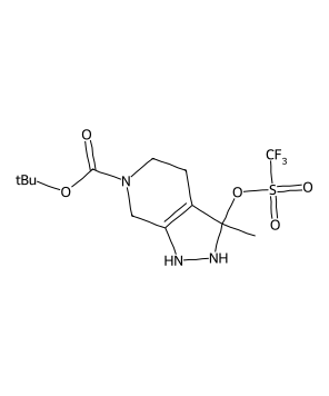 CC(C)(C)OC(=O)N1CCC2=C(C1)NNC2(C)OS(=O)(=O)C(F)(F)F